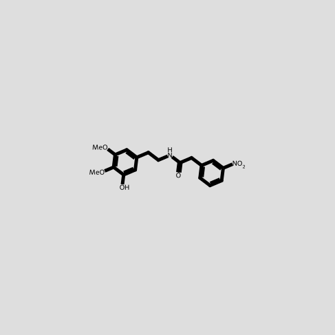 COc1cc(CCNC(=O)Cc2cccc([N+](=O)[O-])c2)cc(O)c1OC